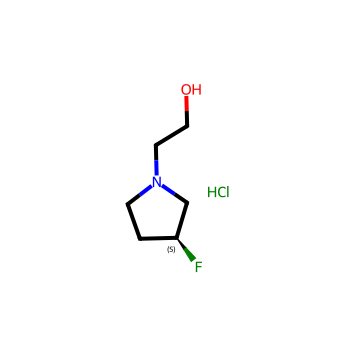 Cl.OCCN1CC[C@H](F)C1